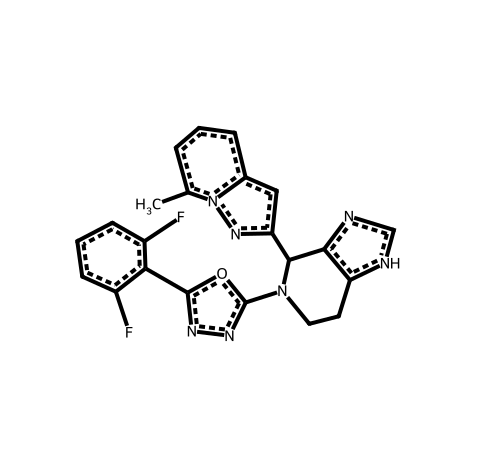 Cc1cccc2cc(C3c4nc[nH]c4CCN3c3nnc(-c4c(F)cccc4F)o3)nn12